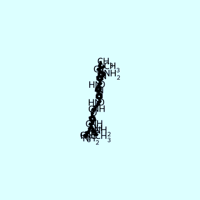 CCCN(CCC)C(=O)C1=Cc2ccc(C(=O)Nc3ccc(N4CCC(C(=O)NCCNC(=O)OCc5ccc(NC(=O)C(CCCNC(N)=O)NC(=O)[C@@H](N)C(C)C)cc5)CC4)nc3)cc2N=C(N)C1